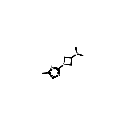 Cc1csc(N2CC(N(C)C)C2)n1